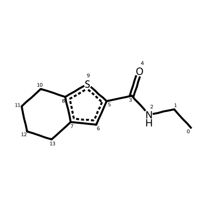 CCNC(=O)c1cc2c(s1)CCCC2